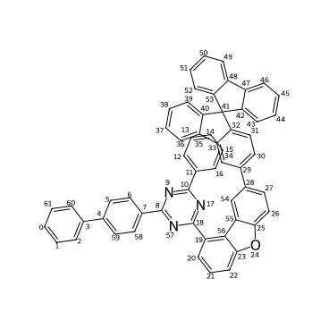 c1ccc(-c2ccc(-c3nc(-c4ccccc4)nc(-c4cccc5oc6ccc(-c7ccc8c(c7)-c7ccccc7C87c8ccccc8-c8ccccc87)cc6c45)n3)cc2)cc1